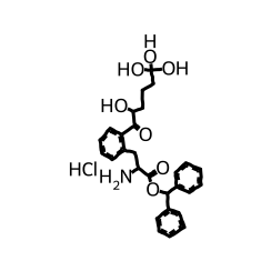 Cl.NC(Cc1ccccc1C(=O)C(O)CCCC(O)(O)O)C(=O)OC(c1ccccc1)c1ccccc1